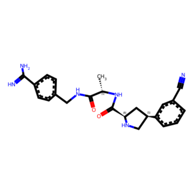 C[C@H](NC(=O)[C@H]1C[C@@H](c2cccc(C#N)c2)CN1)C(=O)NCc1ccc(C(=N)N)cc1